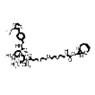 Cc1ncsc1-c1ccc(CNC(=O)[C@@H]2C[C@H](O)CN2C(=O)[C@@H](NC(=O)CCOCCOCCOCCNC(=O)OCC2[C@H]3CCC#CCC[C@@H]23)C(C)(C)C)cc1